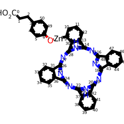 O=C(O)CCc1ccc([O][Zn][c]2cccc3c4nc5nc(nc6[nH]c(nc7nc(nc([nH]4)c23)-c2ccccc2-7)c2ccccc62)-c2ccccc2-5)cc1